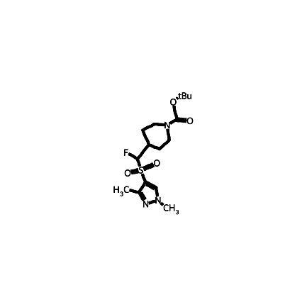 Cc1nn(C)cc1S(=O)(=O)C(F)C1CCN(C(=O)OC(C)(C)C)CC1